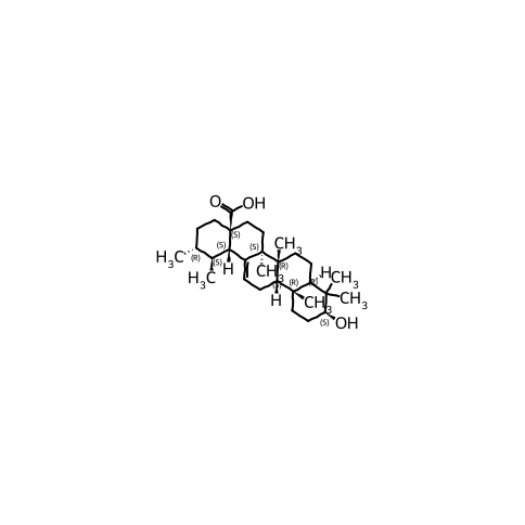 C[C@H]1[C@H](C)CC[C@]2(C(=O)O)CC[C@]3(C)C(=CC[C@H]4[C@@]5(C)CC[C@H](O)C(C)(C)[C@@H]5CC[C@]43C)[C@H]12